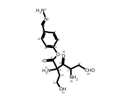 NN=Cc1ccc(OC(=O)C(N)(CCO)C(=O)C(N)CC=O)cc1